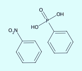 O=P(O)(O)c1ccccc1.O=[N+]([O-])c1ccccc1